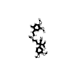 COc1ccc(C(C#N)(CCCN(C)CCc2cc(OC)c(OC)cc2C)C(C)C)cc1OC